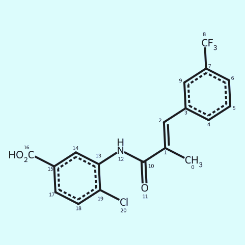 C/C(=C\c1cccc(C(F)(F)F)c1)C(=O)Nc1cc(C(=O)O)ccc1Cl